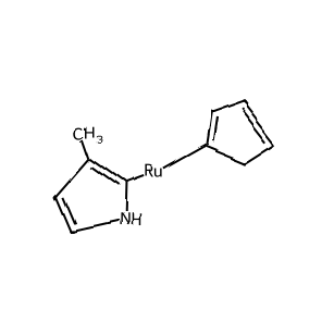 Cc1cc[nH][c]1[Ru][C]1=CC=CC1